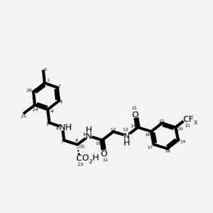 Cc1ccc(CNC[C@H](NC(=O)CNC(=O)c2cccc(C(F)(F)F)c2)C(=O)O)c(C)c1